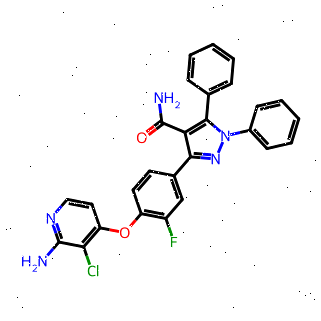 NC(=O)c1c(-c2ccc(Oc3ccnc(N)c3Cl)c(F)c2)nn(-c2ccccc2)c1-c1ccccc1